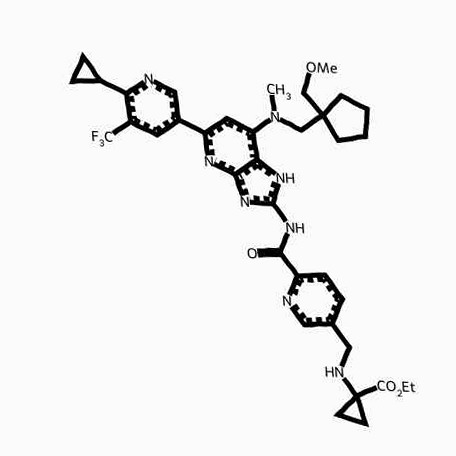 CCOC(=O)C1(NCc2ccc(C(=O)Nc3nc4nc(-c5cnc(C6CC6)c(C(F)(F)F)c5)cc(N(C)CC5(COC)CCCC5)c4[nH]3)nc2)CC1